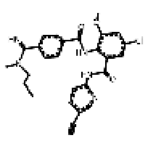 C#Cc1ccc(NC(=O)c2cc(Cl)cc(OC)c2NC(=O)c2ccc(C(=N)N(C)CCC)cc2)nc1